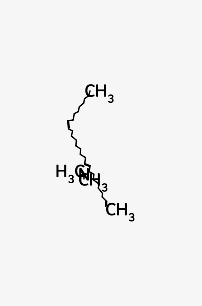 CC=CCCCCCCC(C=CCCCCCCC/C=C\CCCCCCCC)N(C)C